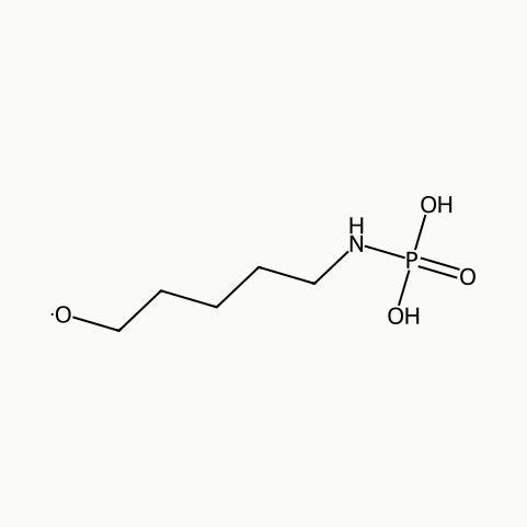 [O]CCCCCNP(=O)(O)O